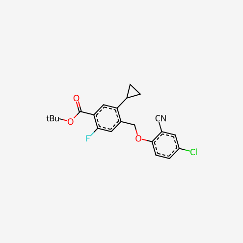 CC(C)(C)OC(=O)c1cc(C2CC2)c(COc2ccc(Cl)cc2C#N)cc1F